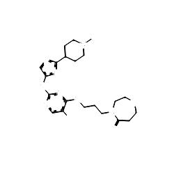 CN1CCC(c2nc(Nc3ncc(C(F)(F)F)c(NCCCN4CCOCCC4=O)n3)cs2)CC1